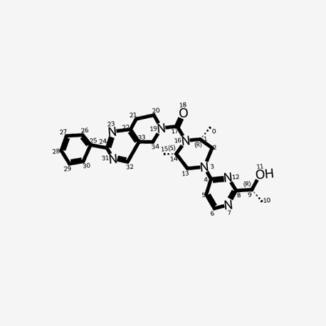 C[C@@H]1CN(c2ccnc([C@@H](C)O)n2)C[C@H](C)N1C(=O)N1CCc2nc(-c3ccccc3)ncc2C1